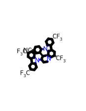 N#Cc1ccc(-n2c3ccc(C(F)(F)F)cc3c3cc(C(F)(F)F)ccc32)c(-c2cnccc2-n2c3ccc(C(F)(F)F)cc3c3cc(C(F)(F)F)ccc32)c1